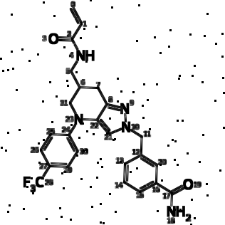 C=CC(=O)NCC1Cc2nn(Cc3cccc(C(N)=O)c3)cc2N(c2ccc(C(F)(F)F)cc2)C1